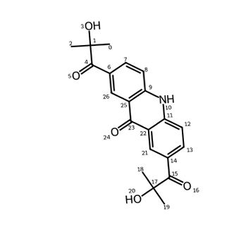 CC(C)(O)C(=O)c1ccc2[nH]c3ccc(C(=O)C(C)(C)O)cc3c(=O)c2c1